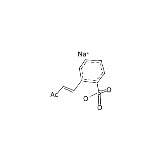 CC(=O)C=Cc1ccccc1S(=O)(=O)[O-].[Na+]